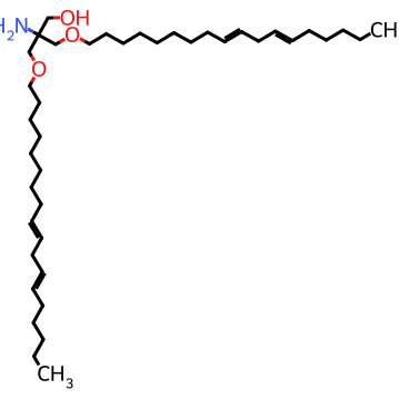 CCCCCC=CCC=CCCCCCCCCOCC(N)(CO)COCCCCCCCCC=CCC=CCCCCC